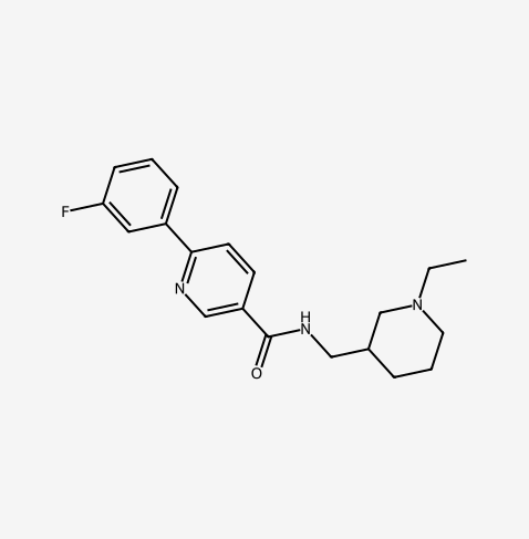 CCN1CCCC(CNC(=O)c2ccc(-c3cccc(F)c3)nc2)C1